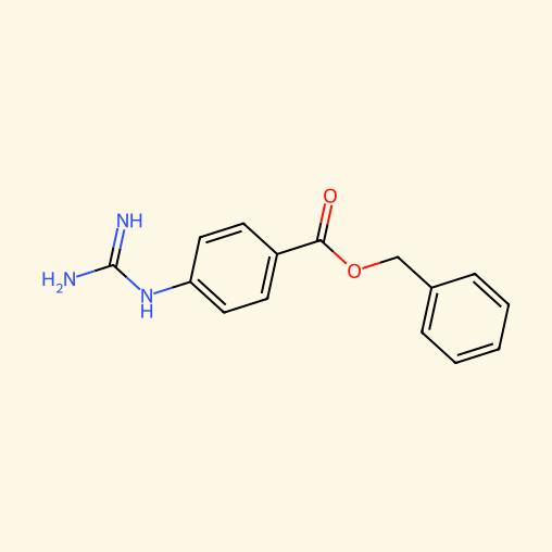 N=C(N)Nc1ccc(C(=O)OCc2ccccc2)cc1